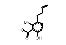 C=CCCc1ccc(O)c(C(=O)O)c1Br